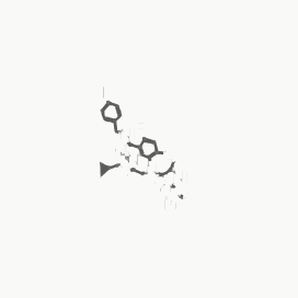 CC(C)(C)OC(=O)N[C@H]1CSc2cc(F)c(C(=O)NCc3ccc(F)cc3)cc2N(Cc2nnc(C3CC3)s2)C1=O